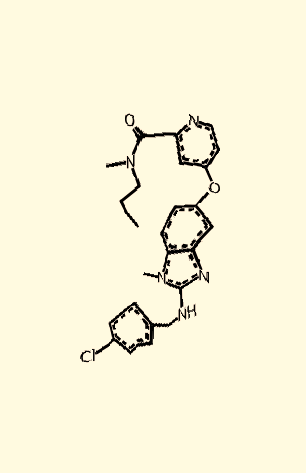 CCCN(C)C(=O)c1cc(Oc2ccc3c(c2)nc(Nc2ccc(Cl)cc2)n3C)ccn1